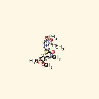 CCCCC1CN(Cc2cc3c(=O)n(C)cc(-c4ccc(OC)c(OC)c4)c3s2)CCN1S(C)(=O)=O